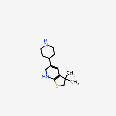 CC1(C)CSC2=C1C=C(C1CCNCC1)CN2